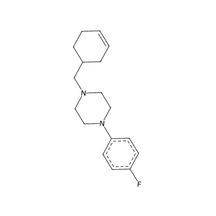 Fc1ccc(N2CCN(CC3CC=CCC3)CC2)cc1